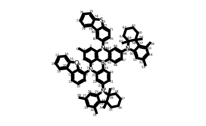 Cc1cc2c3c(c1)N(c1cccc4c1oc1ccccc14)c1cc(N4c5cc(C)cc(C)c5C5(C)CCCCC45C)ccc1B3c1ccc(N3c4cc(C)cc(C)c4C4(C)CCCCC34C)cc1N2c1ccc2sc3ccccc3c2c1